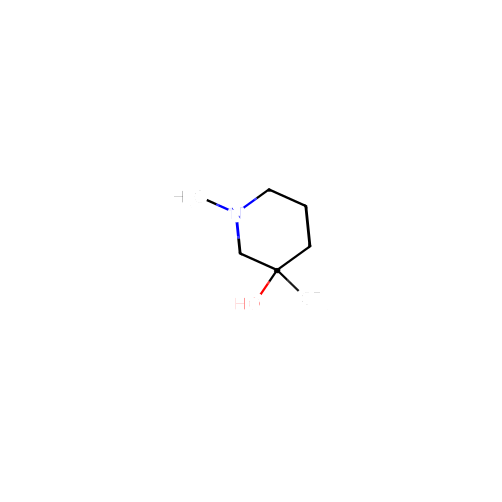 CN1CCCC(O)(C(F)(F)F)C1